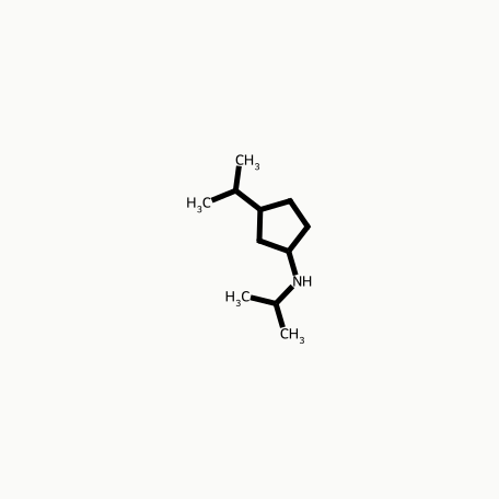 CC(C)NC1CCC(C(C)C)C1